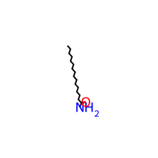 CCCCCCCCCCCCCCCC(N)=O